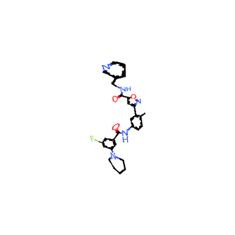 Cc1ccc(NC(=O)c2cc(F)cc(N3CCCCC3)c2)cc1-c1cc(C(=O)NCc2cccnc2)on1